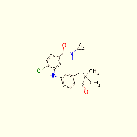 CC1(C)Cc2cc(Nc3cc(C(=O)NC4CC4)ccc3Cl)ccc2C1=O